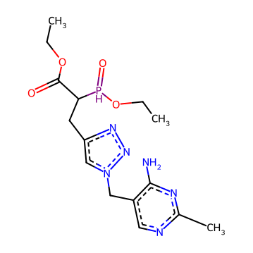 CCOC(=O)C(Cc1cn(Cc2cnc(C)nc2N)nn1)[PH](=O)OCC